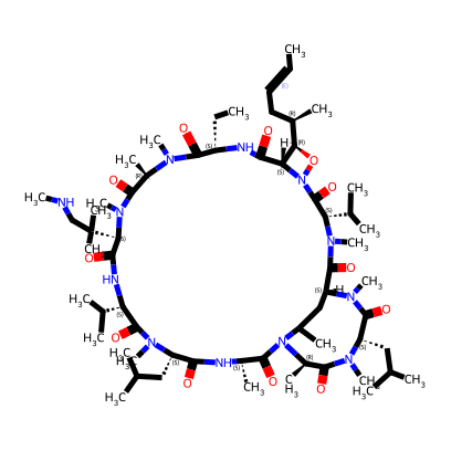 C/C=C/C[C@@H](C)[C@H]1ON2C(=O)[C@H](C(C)C)N(C)C(=O)[C@@H]3CC(C)N(C(=O)[C@H](C)NC(=O)[C@H](CC(C)C)N(C)C(=O)[C@H](C(C)C)NC(=O)[C@H](C(C)(C)CNC)N(C)C(=O)[C@@H](C)N(C)C(=O)[C@H](CC)NC(=O)[C@H]12)[C@H](C)C(=O)N(C)[C@@H](CC(C)C)C(=O)N3C